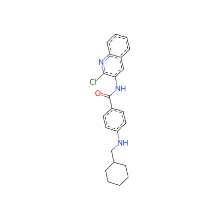 O=C(Nc1cc2ccccc2nc1Cl)c1ccc(NCC2CCCCC2)cc1